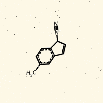 Cc1ccc2c(c1)C=CC2[N+]#N